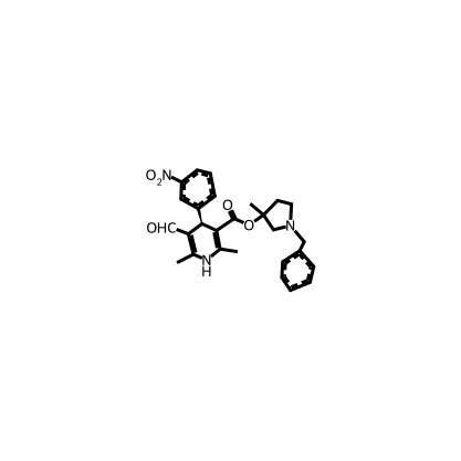 CC1=C(C=O)[C@@H](c2cccc([N+](=O)[O-])c2)C(C(=O)OC2(C)CCN(Cc3ccccc3)C2)=C(C)N1